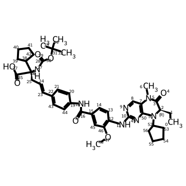 CC[C@@H]1C(=O)N(C)c2cnc(Nc3ccc(C(=O)Nc4ccc(C=CC[C@@](NC(=O)OC(C)(C)C)(C(=O)O)C5CCCC5)cc4)cc3OC)nc2N1C1CCCC1